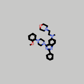 COc1ccccc1N1CCN(c2nc(-c3ccccc3)nc3ccc(N(C)CCN4CCOCC4)cc23)CC1